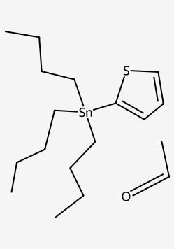 CC=O.CCC[CH2][Sn]([CH2]CCC)([CH2]CCC)[c]1cccs1